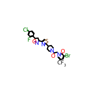 O=C(Cn1cc(C(F)(F)F)cc(Br)c1=O)N1CCC(c2nc(C3=NOC(c4ccc(Cl)cc4F)C3)cs2)CC1